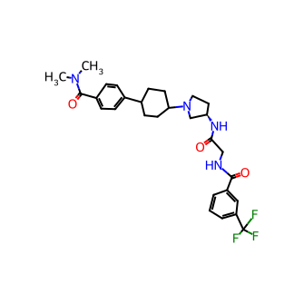 CN(C)C(=O)c1ccc(C2CCC(N3CC[C@@H](NC(=O)CNC(=O)c4cccc(C(F)(F)F)c4)C3)CC2)cc1